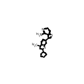 Cc1cc(-c2ccccc2)nc2cc(-c3csc4ccnc(N)c34)ccc12